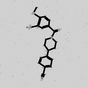 COc1ccc(C(=O)N2CCC(c3ccc(C#N)cc3)CC2)cc1N